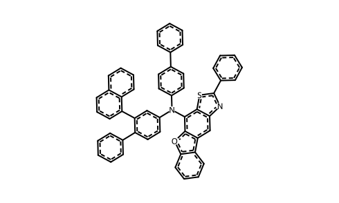 c1ccc(-c2ccc(N(c3ccc(-c4ccccc4)c(-c4cccc5ccccc45)c3)c3c4oc5ccccc5c4cc4nc(-c5ccccc5)sc34)cc2)cc1